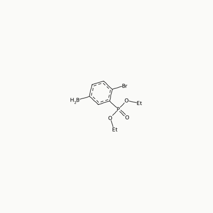 Bc1ccc(Br)c(P(=O)(OCC)OCC)c1